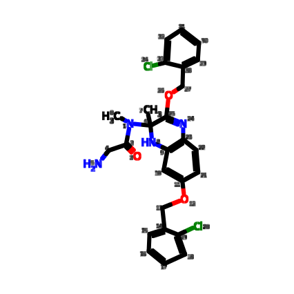 CN(C(=O)CN)C1(C)Nc2cc(OCc3ccccc3Cl)ccc2N=C1OCc1ccccc1Cl